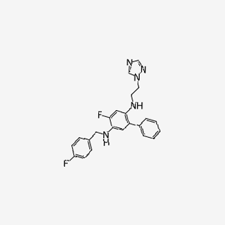 Fc1ccc(CNc2cc(-c3ccccc3)c(NCCn3cncn3)cc2F)cc1